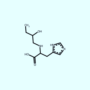 CCC(O)CNC(Cc1cnc[nH]1)C(=O)O